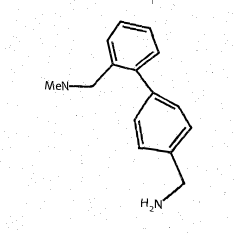 CNCc1ccccc1-c1ccc(CN)cc1